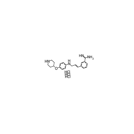 Cl.Cl.Cl.N=C(N)c1cccc(C=CCNc2ccc(OC3CCNCC3)cc2)c1